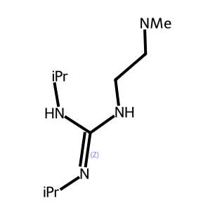 CNCCN/C(=N/C(C)C)NC(C)C